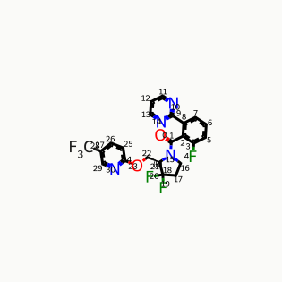 O=C(c1c(F)cccc1-c1ncccn1)N1CCC(F)(F)[C@H]1COc1ccc(C(F)(F)F)cn1